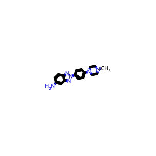 CN1CCN(c2ccc(-n3nc4ccc(N)cc4n3)cc2)CC1